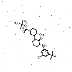 CC(C)(C)OC(=O)N1CC[C@H](O)[C@@H](N2CCC[C@@H](Nc3cc(Cl)cc(C(F)(F)F)c3)C2=O)C1